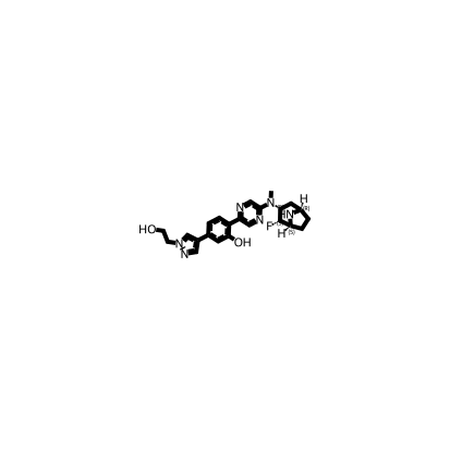 CN(c1cnc(-c2ccc(-c3cnn(CCO)c3)cc2O)cn1)[C@@H]1C[C@H]2CC[C@H](N2)[C@@H]1F